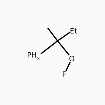 CCC(C)(C)OF.P